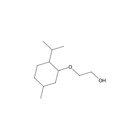 CC1CCC(C(C)C)[C](OCCO)C1